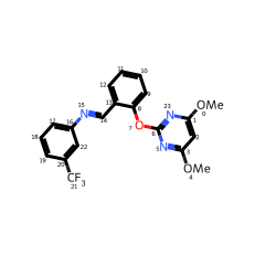 COc1cc(OC)nc(Oc2ccccc2C=Nc2cccc(C(F)(F)F)c2)n1